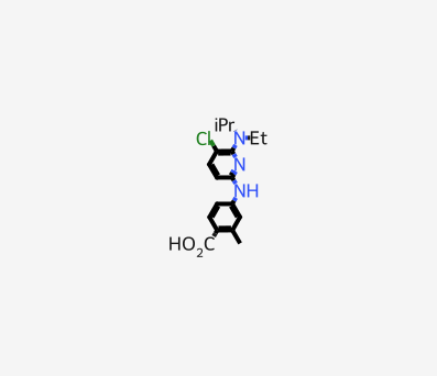 CCN(c1nc(Nc2ccc(C(=O)O)c(C)c2)ccc1Cl)C(C)C